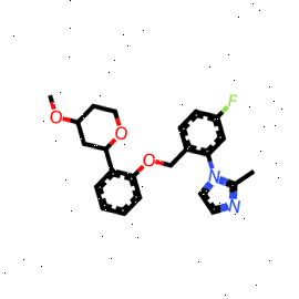 COC1CCOC(c2ccccc2OCc2ccc(F)cc2-n2ccnc2C)C1